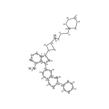 Nc1nccn2c(C3CC(NCCCN4CCOCC4)C3)nc(-c3ccc4ccc(-c5ccccc5)nc4c3)c12